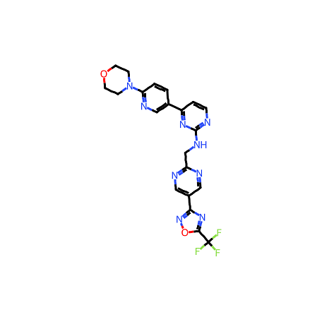 FC(F)(F)c1nc(-c2cnc(CNc3nccc(-c4ccc(N5CCOCC5)nc4)n3)nc2)no1